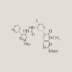 CNc1ncc2cc(-c3ccc(F)c(NC(=O)Nc4cn(C(C)(C)C)nc4-c4cccnc4)c3)c(=O)n(C)c2n1